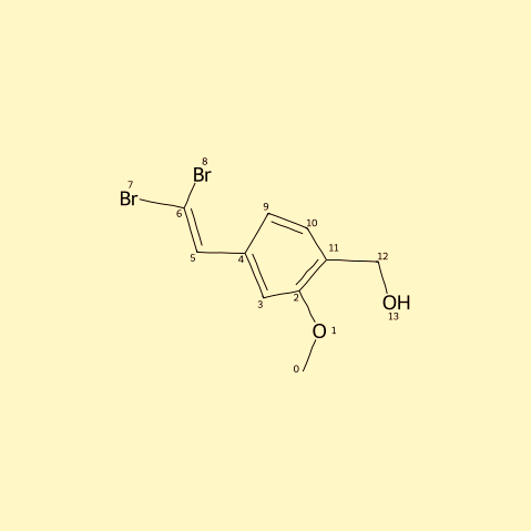 COc1cc(C=C(Br)Br)ccc1CO